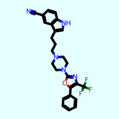 N#Cc1ccc2[nH]cc(CCCN3CCN(c4nc(C(F)(F)F)c(-c5ccccc5)o4)CC3)c2c1